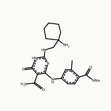 CNC(=O)c1ccc(Nc2nc(NCC3(N)CCCCC3)[nH]c(=O)c2C(N)=O)cc1C